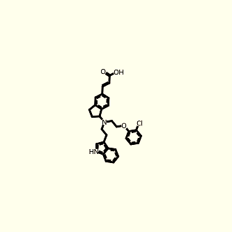 O=C(O)C=Cc1ccc2c(c1)CCC2N(CCOc1ccccc1Cl)CCc1c[nH]c2ccccc12